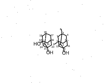 CC12C[C]3CC(C)(C1)CC(O)(C3)C2.OC12C[C]3CC(C1)CC(O)(C3)C2